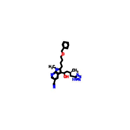 C[C@H](Cc1nnn[nH]1)CC(O)c1c(CCCCOCc2ccccc2)n(C)c2ncc(C#N)cc12